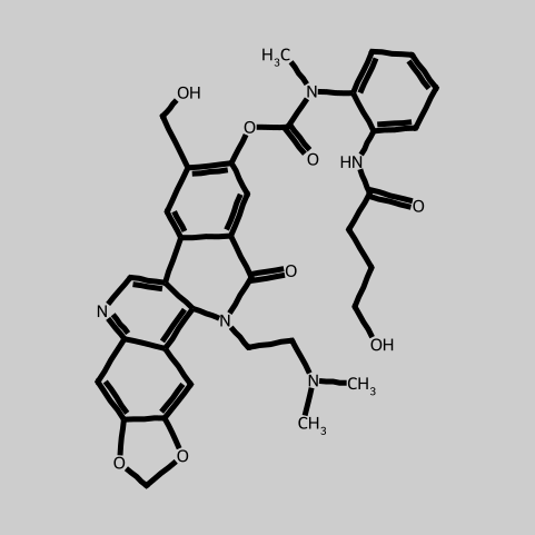 CN(C)CCn1c(=O)c2cc(OC(=O)N(C)c3ccccc3NC(=O)CCCO)c(CO)cc2c2cnc3cc4c(cc3c21)OCO4